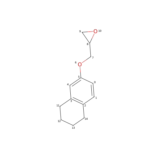 c1cc2c(cc1OCC1CO1)CCCC2